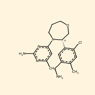 Cc1cc(N2CCCOC[C@@H]2c2cc(CN)c(C)cc2Cl)nc(N)n1